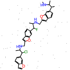 CNC(C)C(C)c1ccc2cc(CNC(C)C(F)c3ccc4cc(CNC(C)C(Cl)c5ccc6ccoc6c5)oc4c3)oc2c1